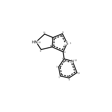 c1ccc(-c2scc3c2CNC3)nc1